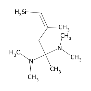 CC(=C[SiH3])CC(C)(N(C)C)N(C)C